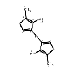 CCC1=C(C)CC=[C]1[Fe][C]1=CCC(C)=C1CC